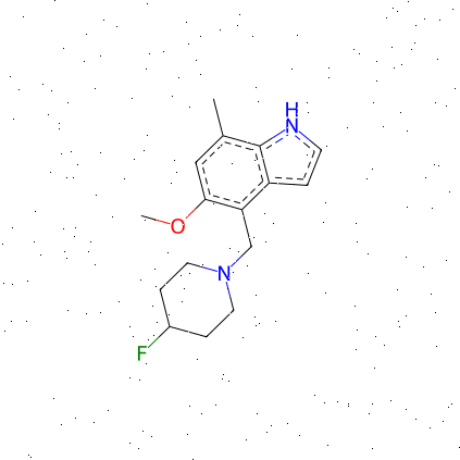 COc1cc(C)c2[nH]ccc2c1CN1CCC(F)CC1